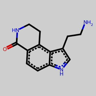 NCCc1c[nH]c2ccc3c(c12)CCNC3=O